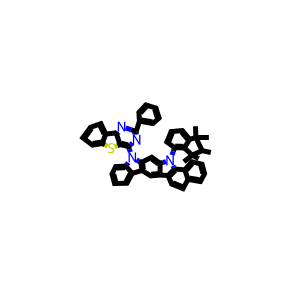 CC1C(C)(C)c2cccc(-n3c4cc5c(cc4c4ccc6ccccc6c43)c3ccccc3n5-c3nc(-c4ccccc4)nc4c3sc3ccccc34)c2C1(C)C